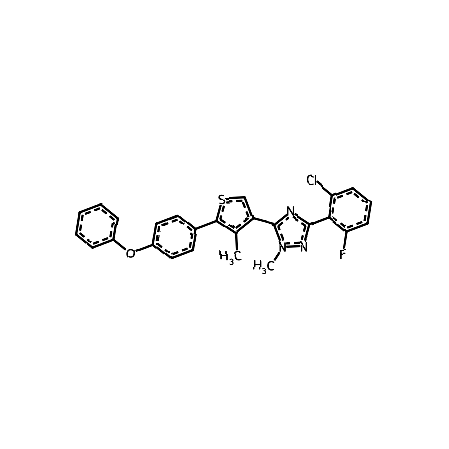 Cc1c(-c2nc(-c3c(F)cccc3Cl)nn2C)csc1-c1ccc(Oc2ccccc2)cc1